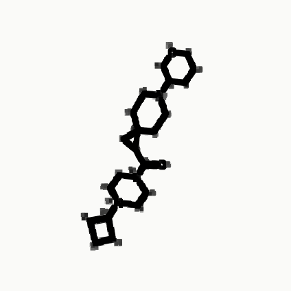 O=C(C1CC12CCN(C1CCCOC1)CC2)N1CCN(C2CCC2)CC1